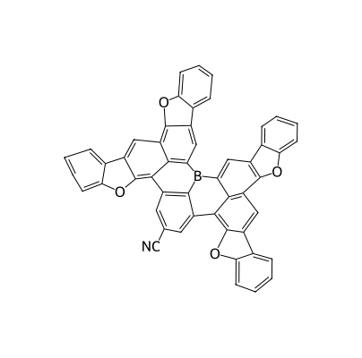 N#Cc1cc2c3c(c1)-c1c4oc5ccccc5c4cc4c1c(cc1c5ccccc5oc41)B3c1cc3c4ccccc4oc3c3cc4c(oc5ccccc54)c-2c13